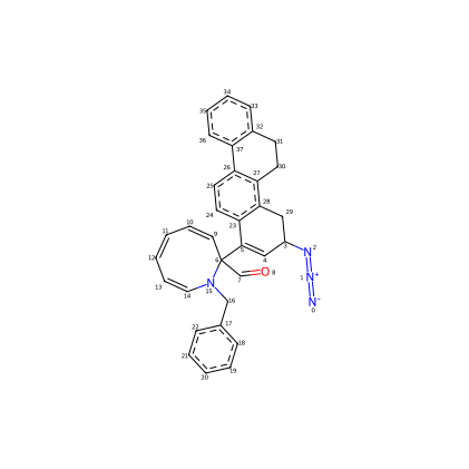 [N-]=[N+]=NC1C=C(C2(C=O)C=CC=CC=CN2Cc2ccccc2)c2ccc3c(c2C1)CCc1ccccc1-3